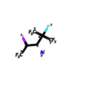 FC(F)(F)C(I)CC(F)(C(F)(F)F)C(F)(F)F.[N]